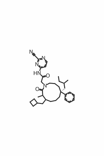 CCC(C)C[C@]1(c2ccccc2)CCCC(CC2CCC2)C(C)C(=O)N(CC(=O)Nc2ccnc(C#N)n2)CCC1